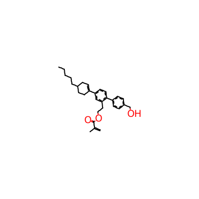 C=C(C)C(=O)OCCc1cc(C2=CCC(CCCCC)CC2)ccc1-c1ccc(CO)cc1